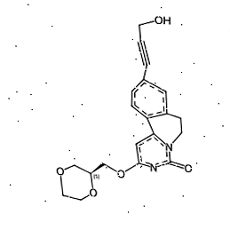 O=c1nc(OC[C@@H]2COCCO2)cc2n1CCc1cc(C#CCO)ccc1-2